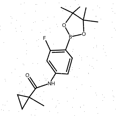 CC1(C(=O)Nc2ccc(B3OC(C)(C)C(C)(C)O3)c(F)c2)CC1